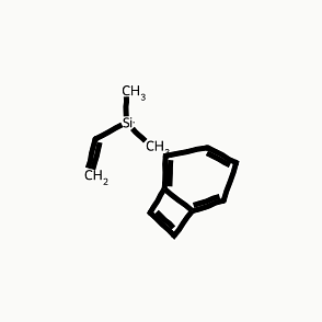 C1=Cc2ccccc21.C=C[Si](C)C